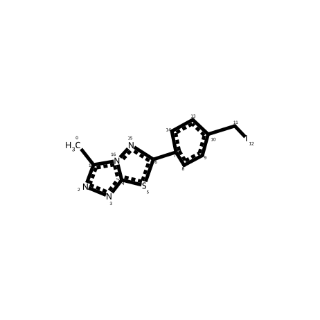 Cc1nnc2sc(-c3ccc(CI)cc3)nn12